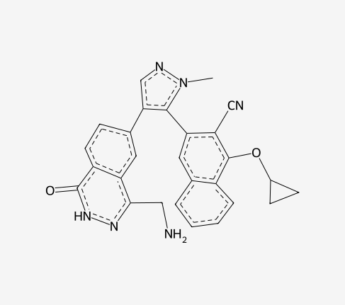 Cn1ncc(-c2ccc3c(=O)[nH]nc(CN)c3c2)c1-c1cc2ccccc2c(OC2CC2)c1C#N